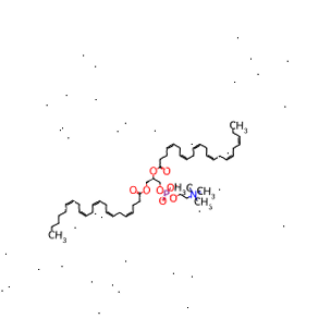 CC/C=C\C/C=C\C/C=C\C/C=C\C/C=C\C/C=C\CCC(=O)O[C@H](COC(=O)CC/C=C\C/C=C\C/C=C\C/C=C\C/C=C\CCCCC)COP(=O)([O-])OCC[N+](C)(C)C